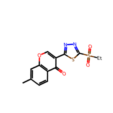 CCS(=O)(=O)c1nnc(-c2coc3cc(C)ccc3c2=O)s1